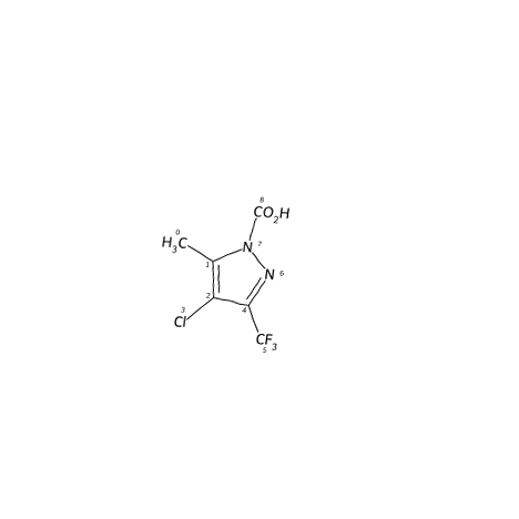 Cc1c(Cl)c(C(F)(F)F)nn1C(=O)O